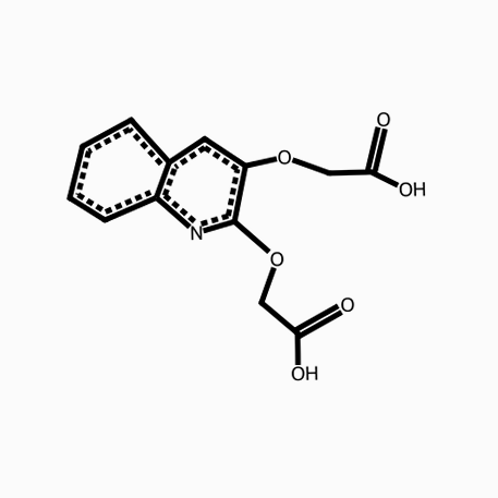 O=C(O)COc1cc2ccccc2nc1OCC(=O)O